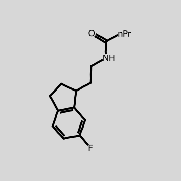 CCCC(=O)NCCC1CCc2ccc(F)cc21